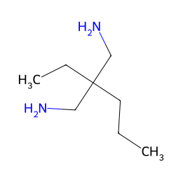 CCCC(CC)(CN)CN